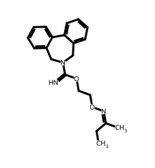 CCC(C)=NOCCOC(=N)N1Cc2ccccc2-c2ccccc2C1